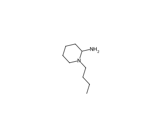 CCCCN1CCCCC1N